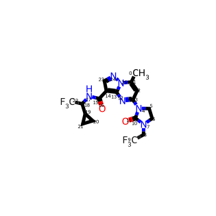 Cc1cc(N2CCN(CC(F)(F)F)C2=O)nc2c(C(=O)NC(C3CC3)C(F)(F)F)cnn12